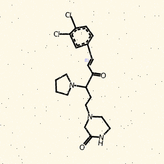 O=C1CN(CCC(C(=O)/C=C/c2ccc(Cl)c(Cl)c2)N2CCCC2)CCN1